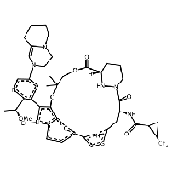 CCn1c(-c2cc(N3C=C4CCCCN4CC3)cnc2[C@H](C)OC)c2c3cc(ccc31)-c1csc(n1)C[C@H](NC(=O)[C@H]1CC1C(F)(F)F)C(=O)N1CCC[C@H](N1)C(=O)OCC(C)(C)C2